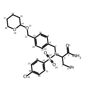 CC(C)CC(C(N)=O)N(Cc1ccc(COC2CCCCO2)cc1)S(=O)(=O)c1ccc(Cl)cc1